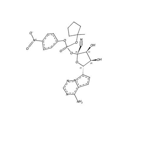 CC1(OP(=O)(Oc2ccc([N+](=O)[O-])cc2)O[C@@]2(C#N)O[C@@H](c3ccc4c(N)ncnn34)[C@H](O)[C@@H]2O)CCCC1